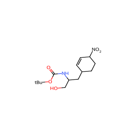 CC(C)(C)OC(=O)NC(CO)CC1C=CC([N+](=O)[O-])CC1